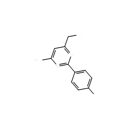 CSc1cc(CO)nc(-c2ccc(Cl)cc2)n1